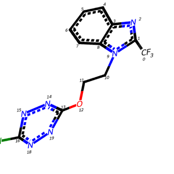 FC(F)(F)c1nc2ccccc2n1CCOc1nnc(Cl)nn1